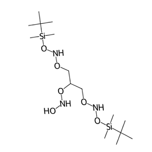 CC(C)(C)[Si](C)(C)ONOCC(CONO[Si](C)(C)C(C)(C)C)ONO